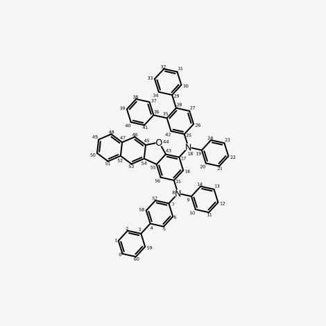 c1ccc(-c2ccc(N(c3ccccc3)c3cc(N(c4ccccc4)c4ccc(-c5ccccc5)c(-c5ccccc5)c4)c4oc5cc6ccccc6cc5c4c3)cc2)cc1